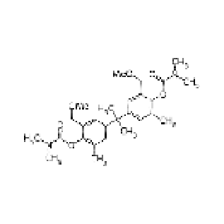 COCc1cc(C(C)(C)c2cc(C)c(OC(=O)N(C)C)c(COC)c2)cc(C)c1OC(=O)N(C)C